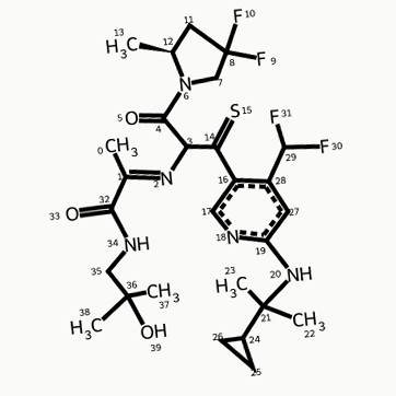 C/C(=N\C(C(=O)N1CC(F)(F)C[C@@H]1C)C(=S)c1cnc(NC(C)(C)C2CC2)cc1C(F)F)C(=O)NCC(C)(C)O